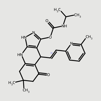 Cc1cccc(/C=C/C2C3=C(CC(C)(C)CC3=O)Nc3[nH]nc(OC(=O)NC(C)C)c32)n1